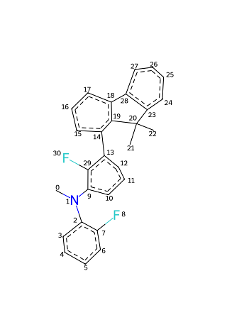 CN(c1ccccc1F)c1cccc(-c2cccc3c2C(C)(C)c2ccccc2-3)c1F